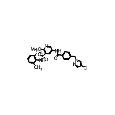 COc1ncc(NC(=O)c2ccc(Cn3cc(Cl)cn3)cc2)cc1S(=O)(=O)Nc1c(C)cccc1C